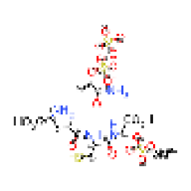 C=CC(N)=O.NC(CCC(=O)NC(CS)C(=O)NCC(=O)O)C(=O)O.O=S(=O)([O-])[O-].O=S(=O)([O-])[O-].O=S(=O)([O-])[O-].[Al+3].[Al+3]